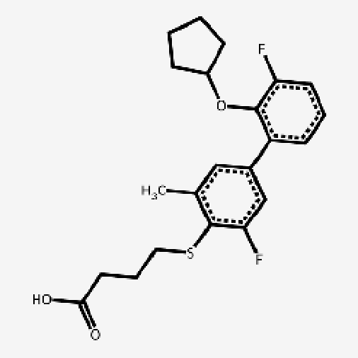 Cc1cc(-c2cccc(F)c2OC2CCCC2)cc(F)c1SCCCC(=O)O